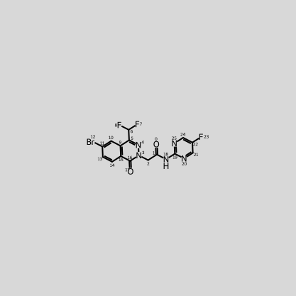 O=C(Cn1nc(C(F)F)c2cc(Br)ccc2c1=O)Nc1ncc(F)cn1